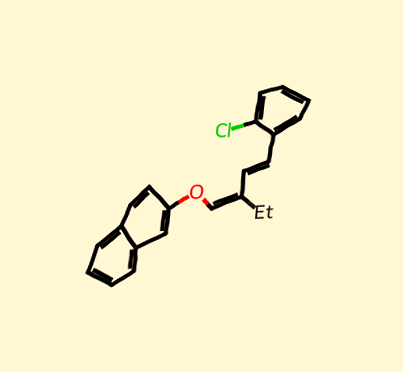 CCC(C=Cc1ccccc1Cl)=COc1ccc2ccccc2c1